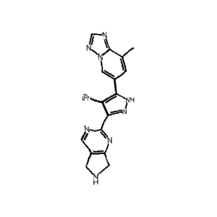 Cc1cc(-c2[nH]nc(-c3ncc4c(n3)CNC4)c2C(C)C)cn2ncnc12